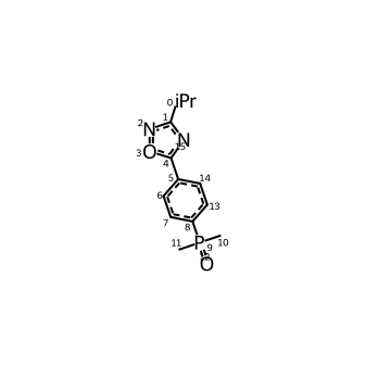 CC(C)c1noc(-c2ccc(P(C)(C)=O)cc2)n1